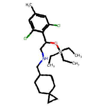 CC[Si](CC)(CC)OC(CNCC1CCC2(CC1)CC2)c1c(Cl)cc(C)cc1Cl